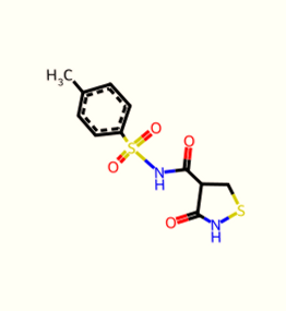 Cc1ccc(S(=O)(=O)NC(=O)C2CSNC2=O)cc1